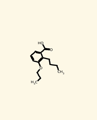 CCCCc1c(OCCC)cccc1C(=O)O